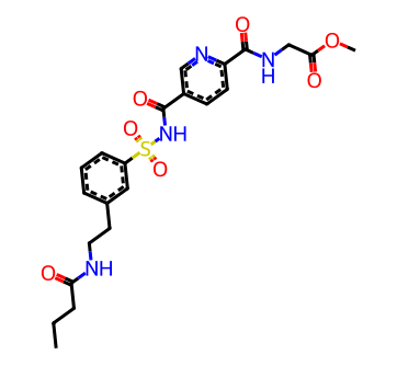 CCCC(=O)NCCc1cccc(S(=O)(=O)NC(=O)c2ccc(C(=O)NCC(=O)OC)nc2)c1